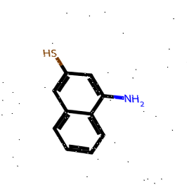 Nc1cc(S)cc2ccccc12